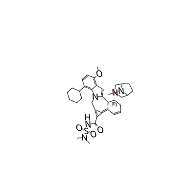 COc1ccc(C2CCCCC2)c2c1cc1n2CC2=C(C(=O)NS(=O)(=O)N(C)C)C2=C2C=CC[C@@H](CN3C4CCC3CN(C)C4)C21